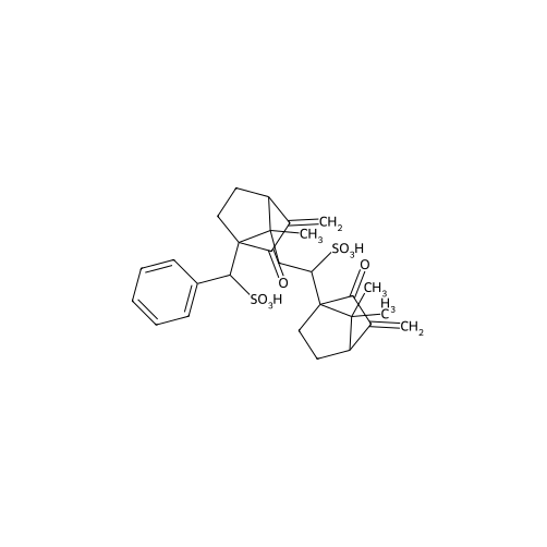 C=C1C(=O)C2(C(CC3(C)C4CCC3(C(c3ccccc3)S(=O)(=O)O)C(=O)C4=C)S(=O)(=O)O)CCC1C2(C)C